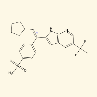 CS(=O)(=O)c1ccc(/C(=C\C2CCCC2)c2cc3cc(C(F)(F)F)cnc3[nH]2)cc1